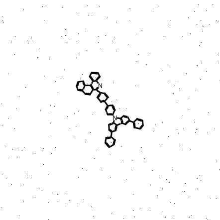 c1ccc(-c2ccc3c(c2)c2cc(-c4ccccc4)ccc2n3-c2ccc(-c3ccc(-c4nc5ccccc5c5c4ccc4ccccc45)cc3)cc2)cc1